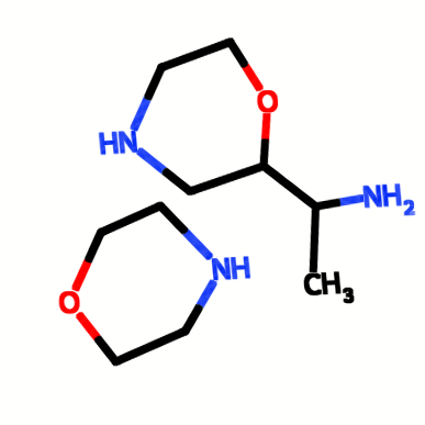 C1COCCN1.CC(N)C1CNCCO1